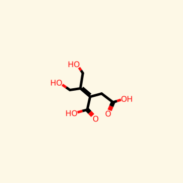 O=C(O)CC(C(=O)O)=C(CO)CO